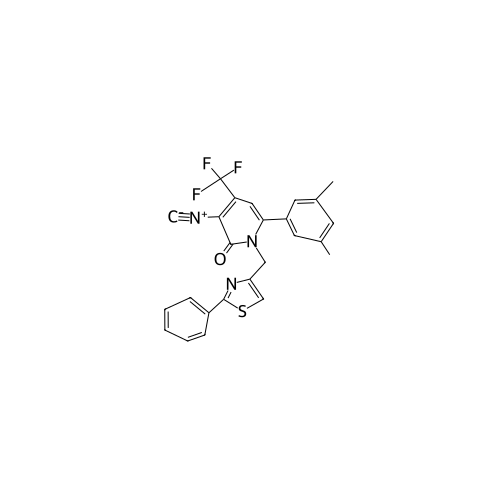 [C-]#[N+]c1c(C(F)(F)F)cc(-c2cc(C)cc(C)c2)n(Cc2csc(-c3ccccc3)n2)c1=O